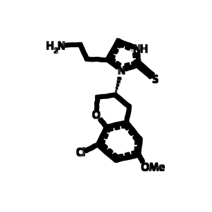 COc1cc(Cl)c2c(c1)C[C@@H](n1c(CCN)c[nH]c1=S)CO2